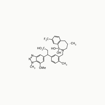 COc1cc(C(CC(=O)O)c2ccc(C)c(CN3C[C@@H](C)Cc4ccc(C(F)(F)F)cc4S3(O)O)c2)cc2nnn(C)c12